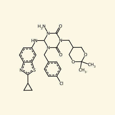 CC1(C)OCC(CN2C(=O)N(N)C(Nc3ccc4nc(C5CC5)sc4c3)N(Cc3ccc(Cl)cc3)C2=O)CO1